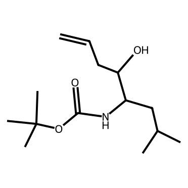 C=CCC(O)C(CC(C)C)NC(=O)OC(C)(C)C